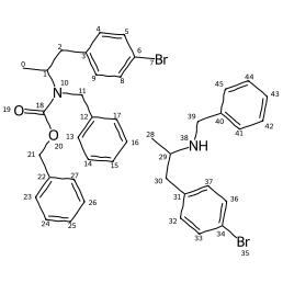 CC(Cc1ccc(Br)cc1)N(Cc1ccccc1)C(=O)OCc1ccccc1.CC(Cc1ccc(Br)cc1)NCc1ccccc1